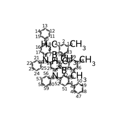 Cc1cc(C)c(B2c3cc(-c4ccccc4)ccc3N(c3ccccc3)c3cc4c(cc32)B(c2c(C)cc(C)cc2C)c2cc(-c3ccccc3)ccc2N4c2ccccc2)c(C)c1